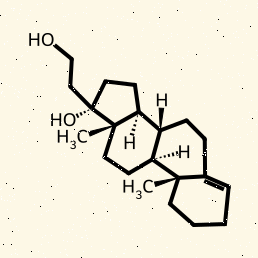 C[C@]12CCCC=C1CC[C@@H]1[C@@H]2CC[C@@]2(C)[C@H]1CC[C@]2(O)CCO